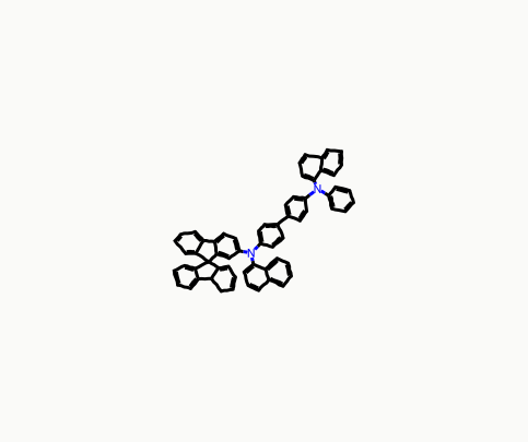 C1=CCC2C(=C1)C1(c3ccccc3-c3ccc(N(c4ccc(-c5ccc(N(c6ccccc6)c6cccc7ccccc67)cc5)cc4)c4cccc5ccccc45)cc31)c1ccccc12